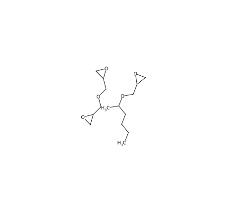 C(OCC1CO1)C1CO1.CCCCC(C)OCC1CO1